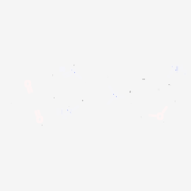 CS(=O)(=O)C/C=N\C1=C(N)CN([C@H]2COC[C@@H](N)C2)C1